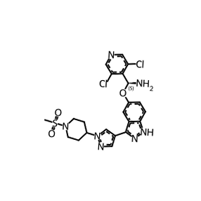 CS(=O)(=O)N1CCC(n2cc(-c3n[nH]c4ccc(O[C@H](N)c5c(Cl)cncc5Cl)cc34)cn2)CC1